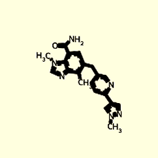 Cc1c(Cc2ccc(-c3cnn(C)c3)nc2)cc(C(N)=O)c2c1ncn2C